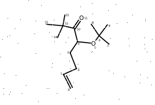 C=CCCC(OC(C)(C)C)C(=O)C(C)(C)C